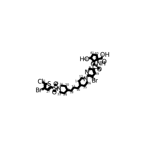 O=C(O)C1(NS(=O)(=O)c2cnc(N3CCC(CCCC4CCN(S(=O)(=O)c5cc(Br)c(Cl)s5)CC4)CC3)c(Br)c2)CCC(O)C1